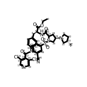 CCOC(=O)[C@H](Cc1ccc(NC(=O)c2c(Cl)cncc2Cl)cc1)NC(=O)C1C[C@@H](N2CC[C@H](F)C2)CN1S(=O)(=O)c1cccc(C#N)c1